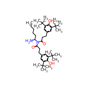 CCCCCC(N)N(C(=O)CCc1cc(C(C)(C)C)c(O)c(C(C)(C)C)c1)C(=O)CCc1cc(C(C)(C)C)c(O)c(C(C)(C)C)c1